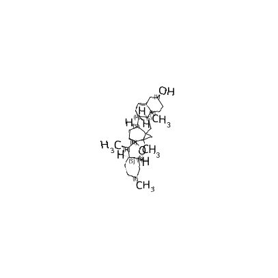 C[C@@H]1CC[C@H]2[C@@H](C)[C@@]3(CC[C@H]4[C@@H]5CC=C6C[C@@H](O)CC[C@]6(C)[C@H]5CC45CC53C)O[C@@H]2C1